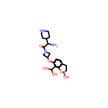 NC(C(=O)N1CC(Oc2ccc3c(c2C(O)O)OB(O)CC3)C1)C1CCNCC1